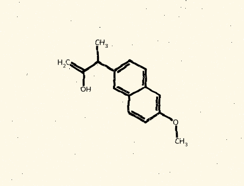 C=C(O)C(C)c1ccc2cc(OC)ccc2c1